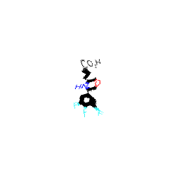 O=C(O)CCC[C@@H]1COC[C@H](c2cc(F)c(F)c(F)c2)N1